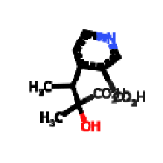 CC(c1ccncc1C(=O)O)C(C)(O)C(=O)O